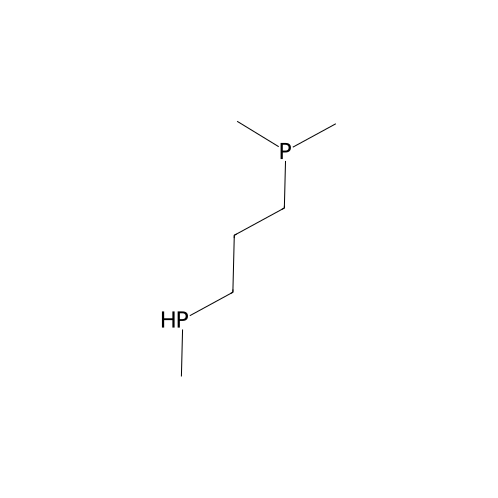 CPCCCP(C)C